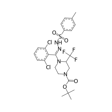 Cc1ccc(S(=O)(=O)N/N=C(\c2c(Cl)cccc2Cl)N2CCN(C(=O)OC(C)(C)C)CC2C(F)(F)F)cc1